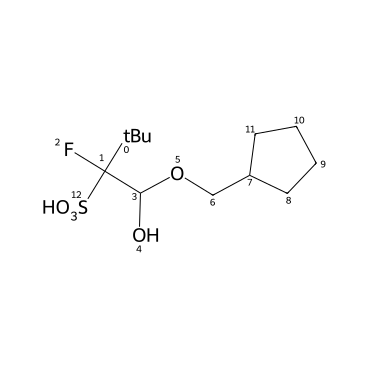 CC(C)(C)C(F)(C(O)OCC1CCCC1)S(=O)(=O)O